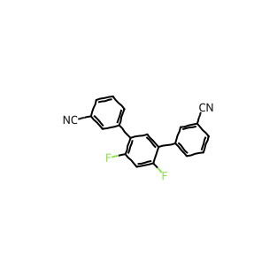 N#Cc1cccc(-c2cc(-c3cccc(C#N)c3)c(F)cc2F)c1